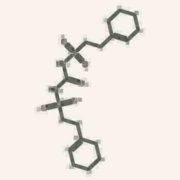 O=C(NS(=O)(=O)CCC1=CCCCC1)NS(=O)(=O)CCC1=CCCCC1